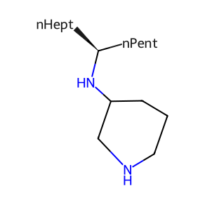 CCCCCCC[C@@H](CCCCC)NC1CCCNC1